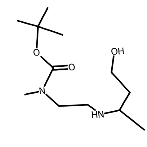 CC(CCO)NCCN(C)C(=O)OC(C)(C)C